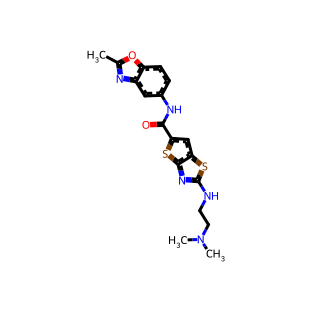 Cc1nc2cc(NC(=O)c3cc4sc(NCCN(C)C)nc4s3)ccc2o1